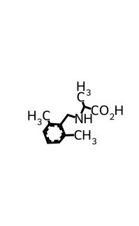 Cc1cccc(C)c1CNC(C)C(=O)O